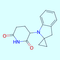 O=C1CCC(N2c3ccccc3CC23CC3)C(=O)N1